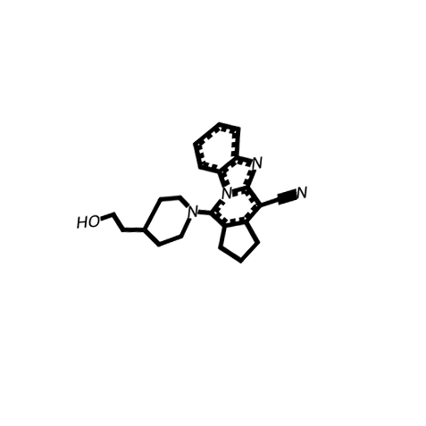 N#Cc1c2c(c(N3CCC(CCO)CC3)n3c1nc1ccccc13)CCC2